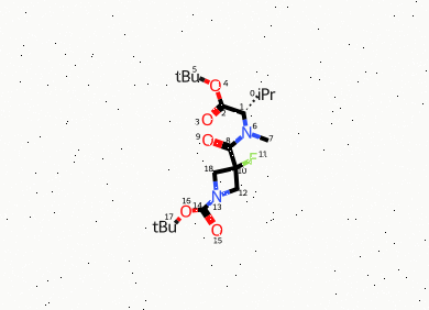 CC(C)[C@@H](C(=O)OC(C)(C)C)N(C)C(=O)C1(F)CN(C(=O)OC(C)(C)C)C1